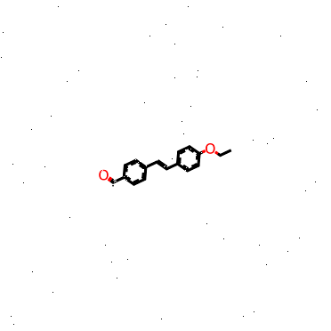 CCOc1ccc(C=Cc2ccc([C]=O)cc2)cc1